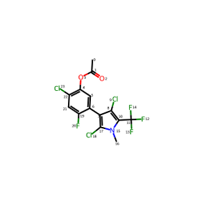 CC(=O)Oc1cc(-c2c(Cl)c(C(F)(F)F)n(C)c2Cl)c(F)cc1Cl